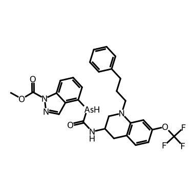 COC(=O)n1ncc2c([AsH]C(=O)NC3Cc4ccc(OC(F)(F)F)cc4N(CCCc4ccccc4)C3)cccc21